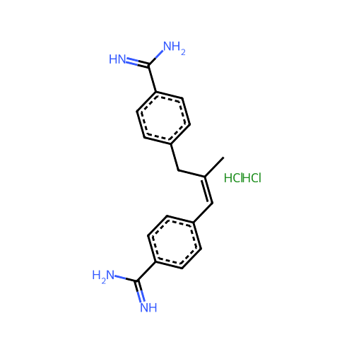 C/C(=C/c1ccc(C(=N)N)cc1)Cc1ccc(C(=N)N)cc1.Cl.Cl